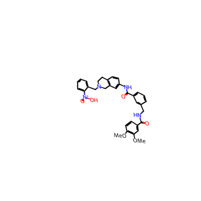 COc1ccc(C(=O)NCc2cccc(C(=O)Nc3ccc4c(c3)CN(Cc3ccccc3[N+](=O)O)CC4)c2)cc1OC